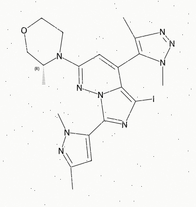 Cc1cc(-c2nc(I)c3c(-c4c(C)nnn4C)cc(N4CCOC[C@H]4C)nn23)n(C)n1